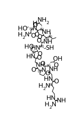 CC[C@H](C)[C@H](NC(=O)[C@H](CS)NC(=O)[C@H](CO)NC(=O)CNC(=O)[C@@H]1CCCN1C(=O)[C@H](CC(=O)O)NC(=O)CNC(=O)[C@@H](N)CCCNC(=N)N)C(=O)N[C@@H](CC(N)=O)C(=O)N[C@@H](CO)C(N)=O